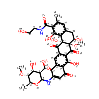 CO[C@@H]1[C@@H](O)[C@@H](CO)C(NC2=CC(=O)c3c(cc4c(c3O)C(=O)[C@]3(OC)[C@H](O)Cc5cc(C)c(C(=O)NCCO)c(O)c5[C@]3(O)C4=O)C2=O)O[C@H]1C